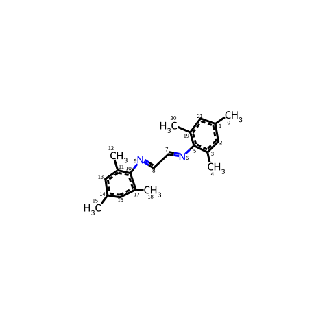 Cc1cc(C)c(N=CC=Nc2c(C)cc(C)cc2C)c(C)c1